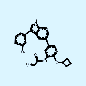 C=CC(=O)Nc1cc(-c2cnc3[nH]cc(-c4cccc(C#N)c4)c3c2)cnc1OC1CCC1